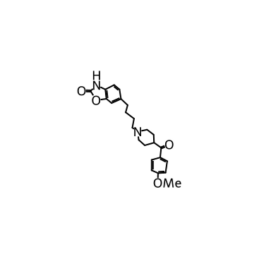 COc1ccc(C(=O)C2CCN(CCCCc3ccc4[nH]c(=O)oc4c3)CC2)cc1